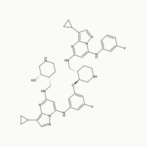 O[C@@H]1CNCC[C@@H]1CNc1cc(Nc2cc(F)cc(O[C@@H]3CNCC[C@H]3CNc3cc(Nc4cccc(F)c4)n4ncc(C5CC5)c4n3)c2)n2ncc(C3CC3)c2n1